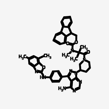 Cc1cc(C)c2oc(Nc3ccc(-c4nn(C5CCCN(C(=O)C(C)(C)N(C)C(=O)OCC6c7ccccc7-c7ccccc76)C5)c5ncnc(N)c45)cc3)nc2c1